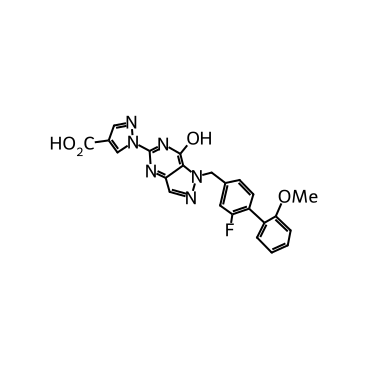 COc1ccccc1-c1ccc(Cn2ncc3nc(-n4cc(C(=O)O)cn4)nc(O)c32)cc1F